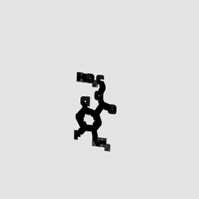 CCOC(=O)COC(=O)c1cc(N)c(F)cc1Cl